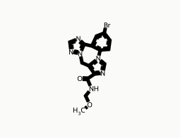 COCNC(=O)c1ncn2c1Cn1ncnc1-c1cc(Br)ccc1-2